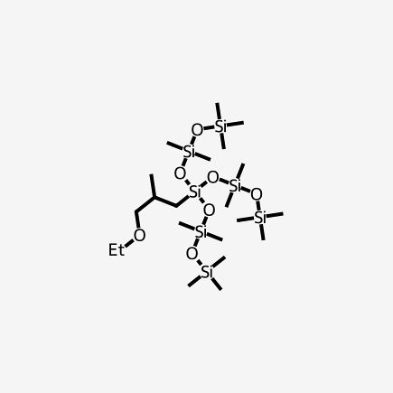 CCOCC(C)C[Si](O[Si](C)(C)O[Si](C)(C)C)(O[Si](C)(C)O[Si](C)(C)C)O[Si](C)(C)O[Si](C)(C)C